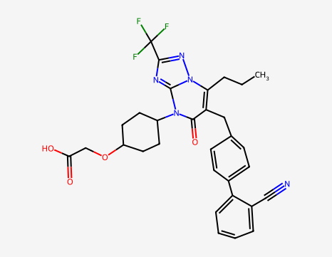 CCCc1c(Cc2ccc(-c3ccccc3C#N)cc2)c(=O)n(C2CCC(OCC(=O)O)CC2)c2nc(C(F)(F)F)nn12